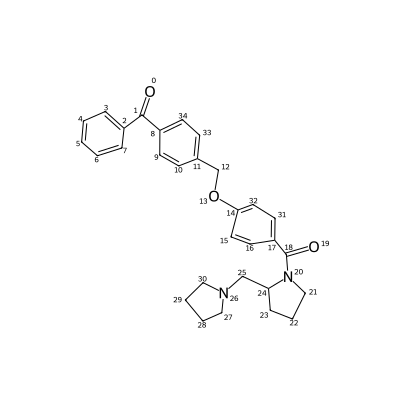 O=C(c1ccccc1)c1ccc(COc2ccc(C(=O)N3CCCC3CN3CCCC3)cc2)cc1